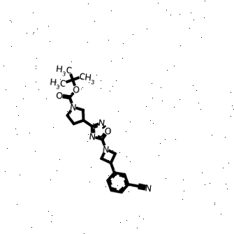 CC(C)(C)OC(=O)N1CCC(c2noc(N3CC(c4cccc(C#N)c4)C3)n2)C1